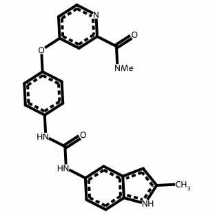 CNC(=O)c1cc(Oc2ccc(NC(=O)Nc3ccc4[nH]c(C)cc4c3)cc2)ccn1